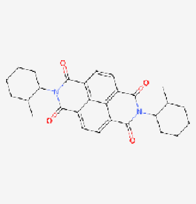 CC1CCCCC1N1C(=O)c2ccc3c4c(ccc(c24)C1=O)C(=O)N(C1CCCCC1C)C3=O